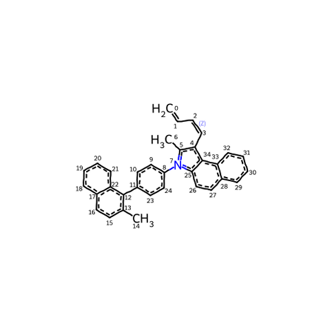 C=C/C=C\c1c(C)n(-c2ccc(-c3c(C)ccc4ccccc34)cc2)c2ccc3ccccc3c12